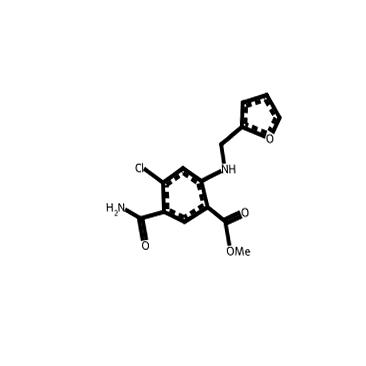 COC(=O)c1cc(C(N)=O)c(Cl)cc1NCc1ccco1